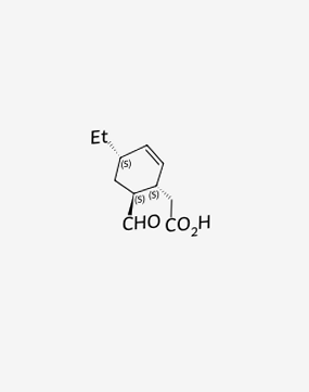 CC[C@@H]1C=C[C@H](CC(=O)O)[C@@H](C=O)C1